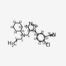 C=CCN(Cc1nnnn1-c1ccc(Cl)c(C#N)c1)C1CCCCC1